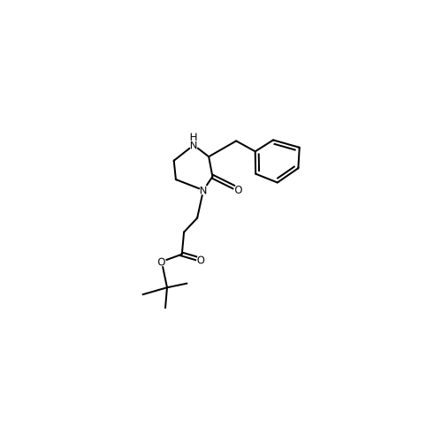 CC(C)(C)OC(=O)CCN1CCNC(Cc2ccccc2)C1=O